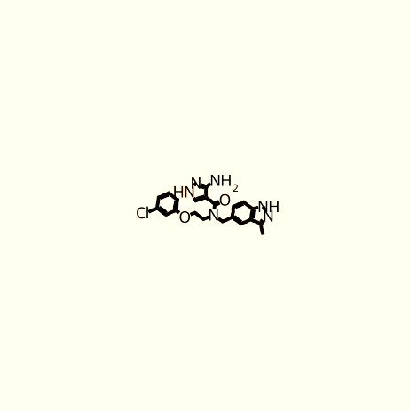 Cc1n[nH]c2ccc(CN(CCOc3cccc(Cl)c3)C(=O)c3c[nH]nc3N)cc12